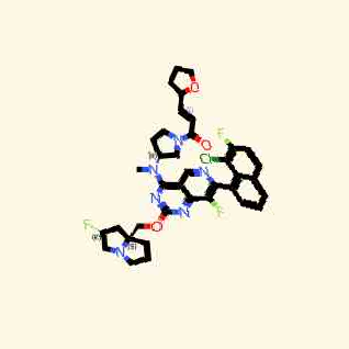 CN(c1nc(OC[C@@]23CCCN2C[C@H](F)C3)nc2c(F)c(-c3cccc4ccc(F)c(Cl)c34)ncc12)[C@@H]1CCN(C(=O)/C=C/C2CCCO2)C1